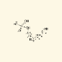 C.C.C.C.C.C.O=P(O)(O)O.[KH]